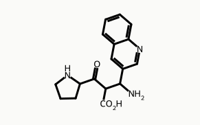 NC(c1cnc2ccccc2c1)C(C(=O)O)C(=O)C1CCCN1